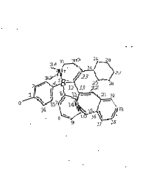 Cc1ccc([B-]2(c3ccccc3)C(c3ccc4ccccc4c3)=C(C3CCCCC3)CC[N+]2(C)C)cc1